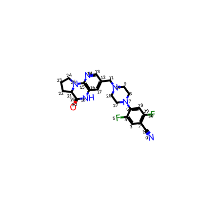 N#Cc1cc(F)c(N2CCN(Cc3cnc4c(c3)NC(=O)C3CCCN43)CC2)cc1F